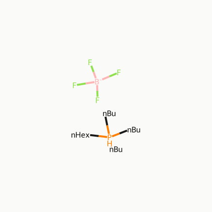 CCCCCC[PH](CCCC)(CCCC)CCCC.F[B-](F)(F)F